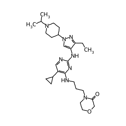 CCc1nn(C2CCN(C(C)C)CC2)cc1Nc1ncc(C2CC2)c(NCCCN2CCOCC2=O)n1